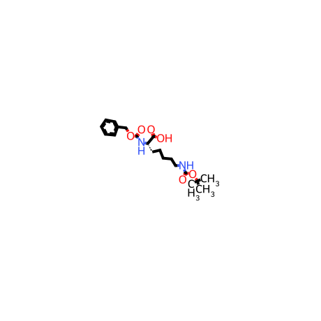 CC(C)(C)OC(=O)NCCCCC[C@H](NC(=O)OCc1ccccc1)C(=O)O